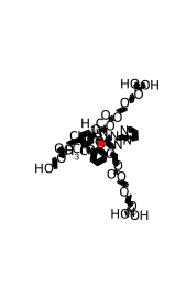 COc1ccccc1Oc1c(OCCOC(=O)OCCOCCON(O)O)nc(-c2ncccn2)nc1N(C(C)OC(=O)OCCOCCON(O)O)S(=O)(=O)c1ccc(C(C)(C)COC(=O)OCCO)cc1